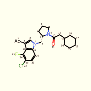 CC(=O)c1cn(C[C@@H]2CCCN2C(=O)CC2CCCCC2)c2ccc(Cl)c(F)c12